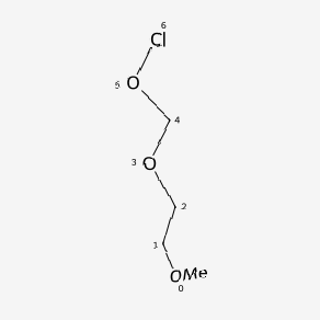 COCCOCOCl